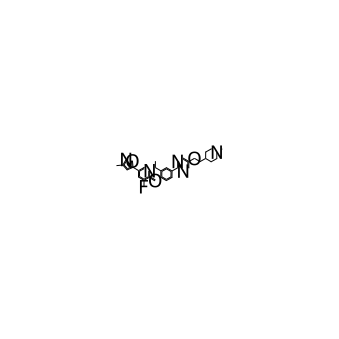 Cc1cc(-c2cc(F)c(=O)n(C(C)c3cccc(-c4ncc(OCC5CCN(C)CC5)cn4)c3)c2)on1